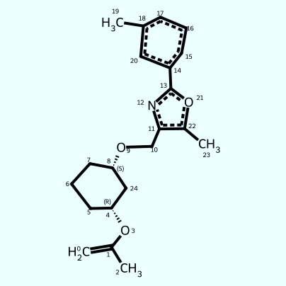 C=C(C)O[C@@H]1CCC[C@H](OCc2nc(-c3cccc(C)c3)oc2C)C1